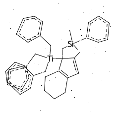 CC1=CC2=C(CCCC2)[C]1(C[Si](C)(C)c1ccccc1)[Ti]([CH2]c1ccccc1)([CH2]c1ccccc1)[CH2]c1ccccc1